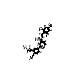 CNc1cc(-c2nccc(NCCc3c(F)cc(Br)cc3F)n2)ccc1C#N